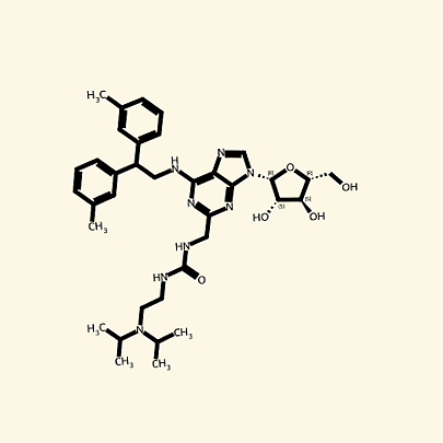 Cc1cccc(C(CNc2nc(CNC(=O)NCCN(C(C)C)C(C)C)nc3c2ncn3[C@@H]2O[C@H](CO)[C@@H](O)[C@@H]2O)c2cccc(C)c2)c1